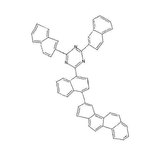 c1ccc2cc(-c3nc(-c4ccc5ccccc5c4)nc(-c4ccc(-c5ccc6ccc7c8ccccc8ccc7c6c5)c5ccccc45)n3)ccc2c1